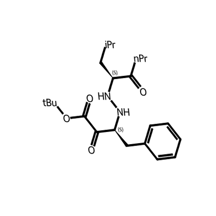 CCCC(=O)[C@H](CC(C)C)NN[C@@H](Cc1ccccc1)C(=O)C(=O)OC(C)(C)C